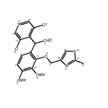 COc1ccc(C(C=O)c2c(Cl)cncc2Cl)c(OCc2csc(C)n2)c1OC